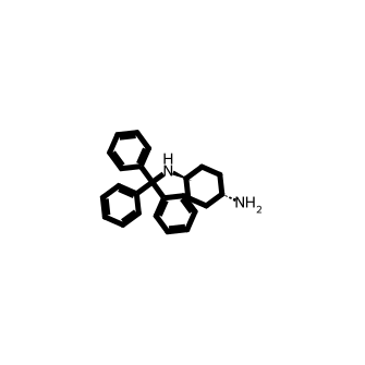 N[C@H]1CC[C@H](NC(c2ccccc2)(c2ccccc2)c2ccccc2)CC1